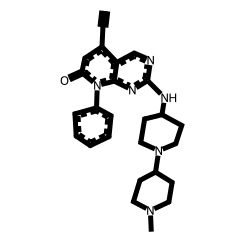 C#Cc1cc(=O)n(-c2ccccc2)c2nc(NC3CCN(C4CCN(C)CC4)CC3)ncc12